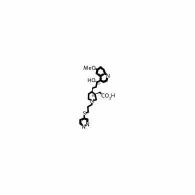 COc1ccc2nccc([C@@H](O)CC[C@@H]3CCN(CCCSc4ccnnc4)C[C@@H]3CC(=O)O)c2c1